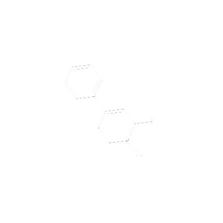 O=C1CCC(c2ccccc2)=CC1Br